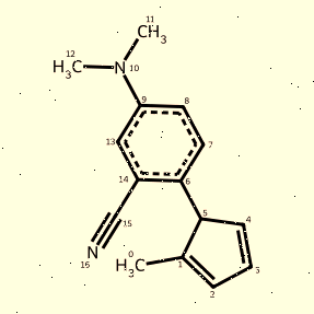 CC1=CC=CC1c1ccc(N(C)C)cc1C#N